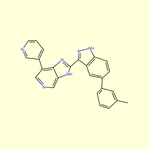 Cc1cccc(-c2ccc3[nH]nc(-c4nc5c(-c6cccnc6)cncc5[nH]4)c3c2)c1